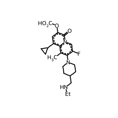 CCNCC1CCN(c2c(F)cn3c(=O)c(OC(=O)O)cc(C4CC4)c3c2C)CC1